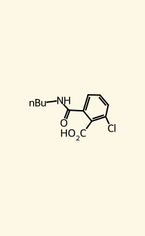 CCCCNC(=O)c1cccc(Cl)c1C(=O)O